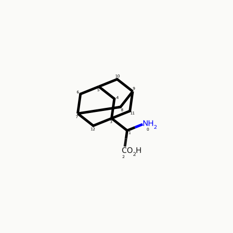 NC(C(=O)O)C12CC3CC(CC(C3)C1)C2